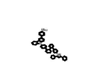 CC(C)(C)c1ccc(-c2ccc3c(c2)c2ccccc2n3-c2ccc(-c3ccccc3-c3ccccc3-c3ccc(-n4nc(-c5ccccc5)cc4-c4ccccc4)cc3)cc2)cc1